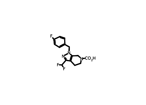 O=C(O)N1CCc2c(C(F)F)nn(Cc3ccc(F)cc3)c2C1